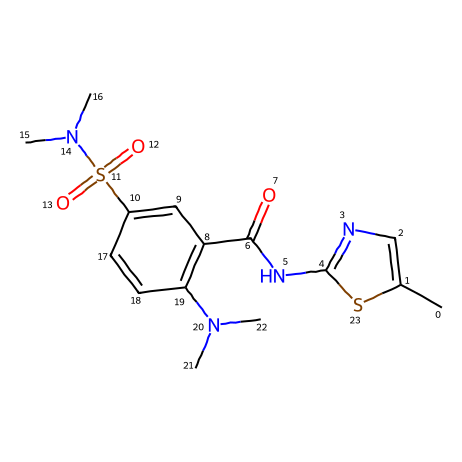 Cc1cnc(NC(=O)c2cc(S(=O)(=O)N(C)C)ccc2N(C)C)s1